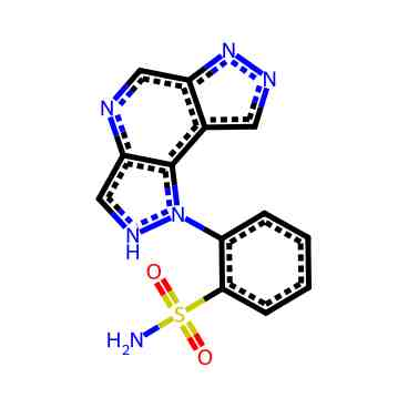 NS(=O)(=O)c1ccccc1-n1[nH]cc2ncc3nncc3c21